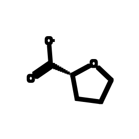 [O]C(=O)[C@H]1CCCO1